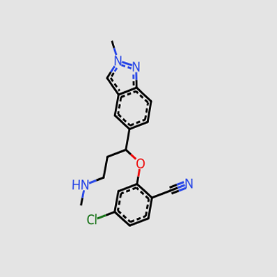 CNCCC(Oc1cc(Cl)ccc1C#N)c1ccc2nn(C)cc2c1